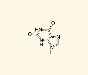 O=c1[nH]c(=O)c2ncn(I)c2[nH]1